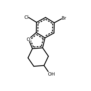 OC1CCc2oc3c(Cl)cc(Br)cc3c2C1